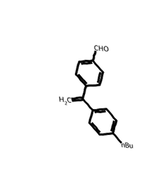 C=C(c1ccc(C=O)cc1)c1ccc(CCCC)cc1